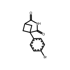 O=C1NC(=O)C2(c3ccc(Br)cc3)CC1C2